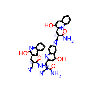 N#C/C(=C/c1cc(O)c2ccccc2n1)C(N)=O.N#C/C(=C/c1cc2ccccc2nc1O)C(N)=O.N#C/C(=C/c1nc2ccccc2cc1O)C(N)=O